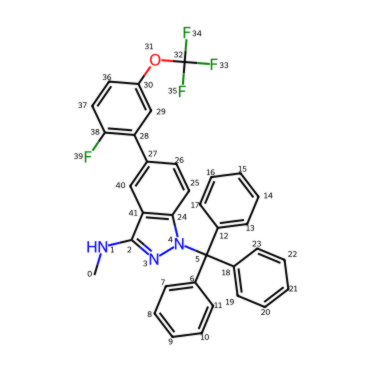 CNc1nn(C(c2ccccc2)(c2ccccc2)c2ccccc2)c2ccc(-c3cc(OC(F)(F)F)ccc3F)cc12